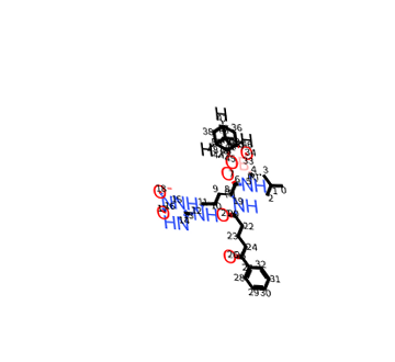 CC(C)C[C@H](NC(=O)[C@H](CCCNC(=N)N[N+](=O)[O-])NC(=O)CCCC(=O)c1ccccc1)B1O[C@@H]2C[C@@H]3C[C@@H](C3(C)C)[C@]2(C)O1